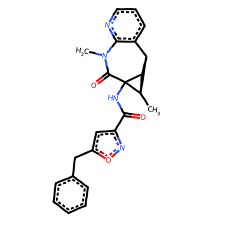 CN1C(=O)C2(NC(=O)c3cc(Cc4ccccc4)on3)C3C(c4cccnc41)C32C